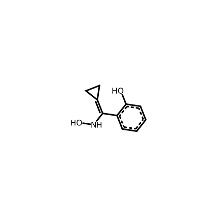 ONC(=C1CC1)c1ccccc1O